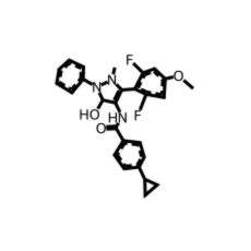 COc1cc(F)c(C2=C(NC(=O)c3ccc(C4CC4)cc3)C(O)N(c3ccccc3)N2C)c(F)c1